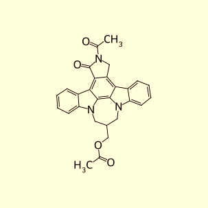 CC(=O)OCC1Cn2c3ccccc3c3c4c(c5c6ccccc6n(c5c32)C1)C(=O)N(C(C)=O)C4